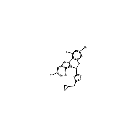 Fc1cc(Br)cc2c1-c1cc3cc(Cl)ccc3n1C(c1cnc(CC3CC3)s1)O2